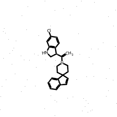 C=C(C1CNc2cc(Cl)ccc21)N1CCC2(C=Cc3ccccc32)CC1